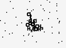 CC(C)(O)c1cc(Cl)c(OCCCCl)c(Cl)c1